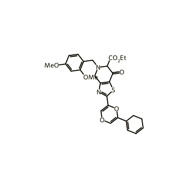 CCOC(=O)C1C(=O)c2sc(C3=COC=C(C4=CC=CCC4)O3)nc2CN1Cc1ccc(OC)cc1OC